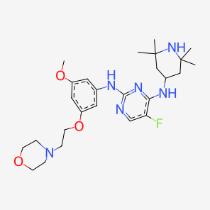 COc1cc(Nc2ncc(F)c(NC3CC(C)(C)NC(C)(C)C3)n2)cc(OCCN2CCOCC2)c1